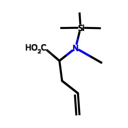 C=CCC(C(=O)O)N(C)[Si](C)(C)C